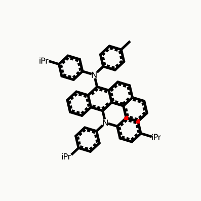 Cc1ccc(N(c2ccc(C(C)C)cc2)c2c3ccccc3c(N(c3ccc(C(C)C)cc3)c3ccc(C(C)C)cc3)c3c2ccc2ccccc23)cc1